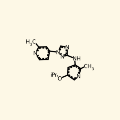 Cc1cc(-n2cnc(Nc3cc(OC(C)C)cnc3C)n2)ccn1